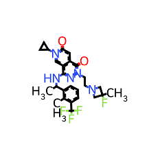 Cc1c(C(C)Nc2nn(CCN3CC(C)(F)C3)c(=O)c3cc(=O)n(C4CC4)cc23)cccc1C(F)(F)F